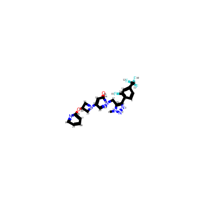 Cn1nnc(-c2ccc(C(F)(F)F)cc2F)c1Cn1ncc(N2CC(Oc3ccccn3)C2)cc1=O